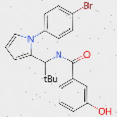 CC(C)(C)C1c2cccn2-c2ccc(Br)cc2N1C(=O)c1cccc(O)c1